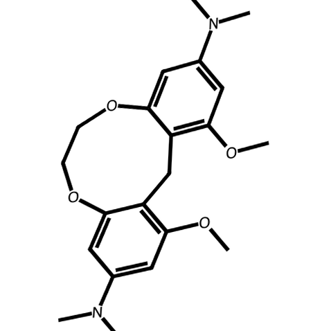 COc1cc(N(C)C)cc2c1Cc1c(OC)cc(N(C)C)cc1OCCO2